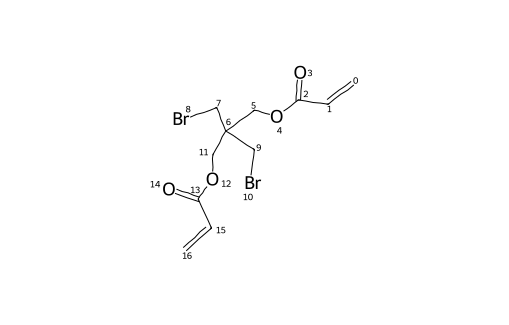 C=CC(=O)OCC(CBr)(CBr)COC(=O)C=C